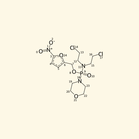 O=[N+]([O-])c1ccc(COP(=O)(N(CCCl)CCCl)N2CCOCC2)o1